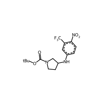 CC(C)(C)OC(=O)N1CCC(Nc2ccc([N+](=O)[O-])c(C(F)(F)F)c2)C1